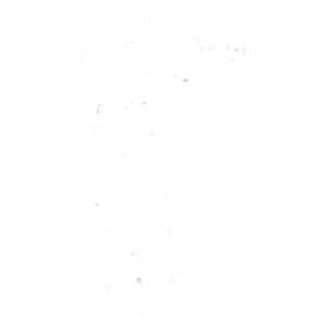 CCc1oc(-c2ccc(C(F)(F)F)cc2)cc1C(CCO)OC